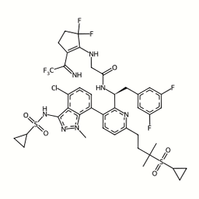 Cn1nc(NS(=O)(=O)C2CC2)c2c(Cl)ccc(-c3ccc(CCC(C)(C)S(=O)(=O)C4CC4)nc3[C@H](Cc3cc(F)cc(F)c3)NC(=O)CNC3=C(C(=N)C(F)(F)F)CCC3(F)F)c21